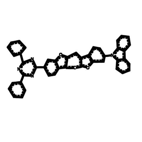 c1ccc(-c2nc(-c3ccccc3)nc(-c3ccc4c(c3)oc3cc5c(cc34)oc3cc(-n4c6ccccc6c6ccccc64)ccc35)n2)cc1